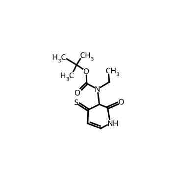 CCN(C(=O)OC(C)(C)C)C1C(=O)NC=CC1=S